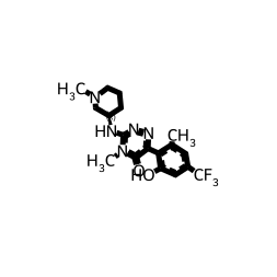 Cc1cc(C(F)(F)F)cc(O)c1-c1nnc(N[C@@H]2CCCN(C)C2)n(C)c1=O